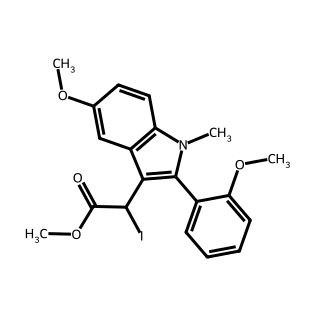 COC(=O)C(I)c1c(-c2ccccc2OC)n(C)c2ccc(OC)cc12